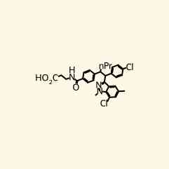 CCCC(c1ccc(C(=O)NCCC(=O)O)cc1)C(c1ccc(Cl)cc1)c1nn(C)c2c(Cl)cc(C)cc12